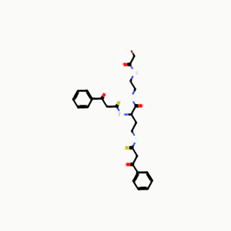 O=C(CBr)NCCNC(=O)C(CCNC(=S)CC(=O)c1ccccc1)NC(=S)CC(=O)c1ccccc1